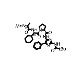 CN[C@@H](C)C(=O)N[C@H](C(=O)N1CCC[C@H]1C(=O)Nc1sc(NC(=O)C(C)(C)C)nc1-c1ccccc1)C1CCCCC1